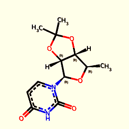 C[C@H]1O[C@@H](n2ccc(=O)[nH]c2=O)[C@@H]2OC(C)(C)O[C@@H]21